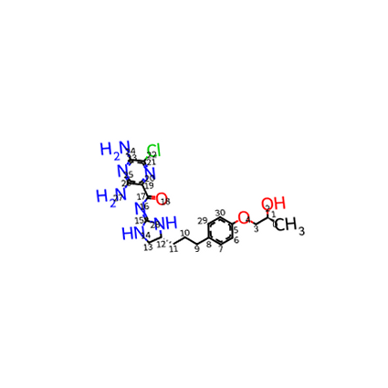 C[C@H](O)COc1ccc(CCC[C@@H]2CN/C(=N/C(=O)c3nc(Cl)c(N)nc3N)N2)cc1